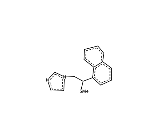 CSC(Cn1ccnc1)c1cccc2ccccc12